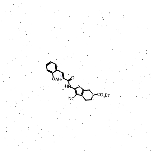 CCOC(=O)N1CCc2c(sc(NC(=O)/C=C/c3ccccc3OC)c2C#N)C1